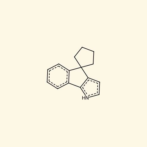 c1ccc2c(c1)-c1[nH]ccc1C21CCCC1